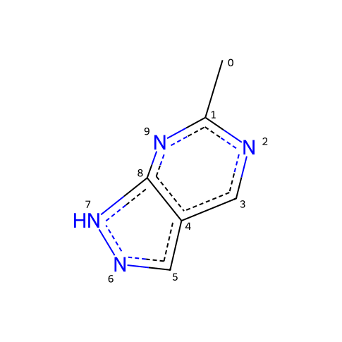 Cc1ncc2cn[nH]c2n1